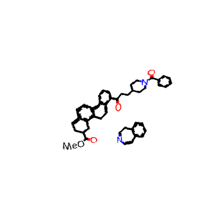 C1=Cc2ccccc2CC=N1.COC(=O)C1CC=c2ccc3c(c2C1)CC=c1c(C(=O)CCC2CCN(C(=O)c4ccccc4)CC2)cccc1=3